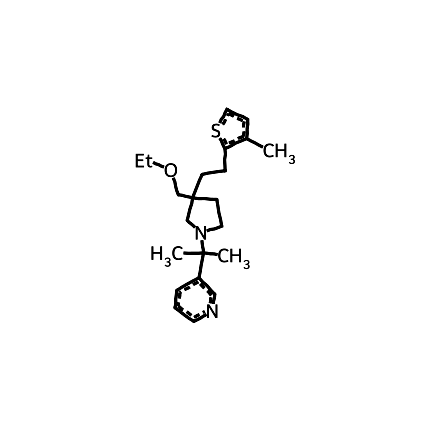 CCOCC1(CCc2sccc2C)CCN(C(C)(C)c2cccnc2)C1